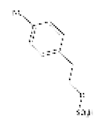 N#Cc1ccc(CCOS(=O)(=O)O)cc1